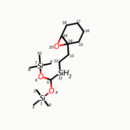 C[Si](C)(C)OC(O[Si](C)(C)C)[SiH2]CCC12CCCCC1O2